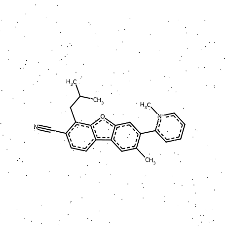 Cc1cc2c(cc1-c1cccc[n+]1C)oc1c(CC(C)C)c(C#N)ccc12